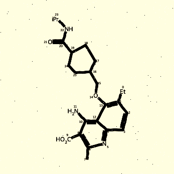 CCc1ccc2nc(C)c(C(=O)O)c(N)c2c1OCC1CCC(C(=O)NC(C)C)CC1